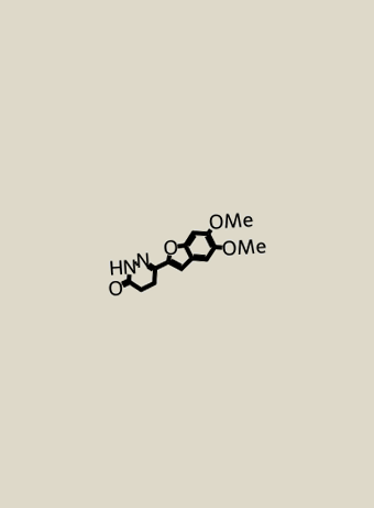 COc1cc2cc(C3=NNC(=O)CC3)oc2cc1OC